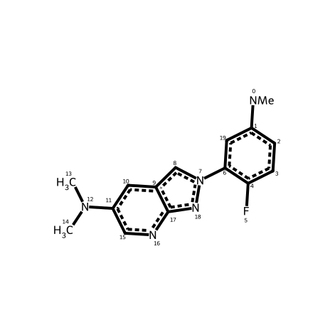 CNc1ccc(F)c(-n2cc3cc(N(C)C)cnc3n2)c1